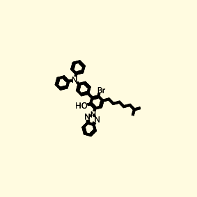 CC(C)CCCCCc1cc(-n2nc3ccccc3n2)c(O)c(-c2ccc(N(c3ccccc3)c3ccccc3)cc2)c1Br